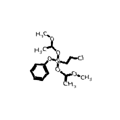 COC(C)O[Si](CCCl)(Oc1ccccc1)OC(C)OC